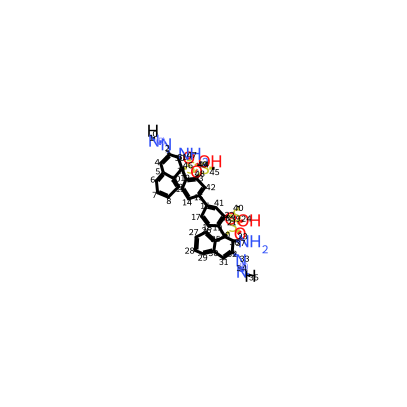 [H]/N=N/C1=Cc2ccccc2C(c2ccc(-c3ccc(C4(S(=O)(=O)O)c5ccccc5C=C(/N=N/[H])C4N)c(SC)c3)cc2SC)(S(=O)(=O)O)C1N